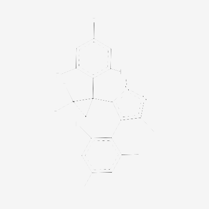 Cc1nn(C)c(C2(c3c(F)cc(F)cc3I)CC2(F)F)c1-c1c(F)cc(F)cc1Cl